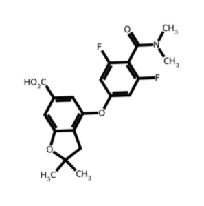 CN(C)C(=O)c1c(F)cc(Oc2cc(C(=O)O)cc3c2CC(C)(C)O3)cc1F